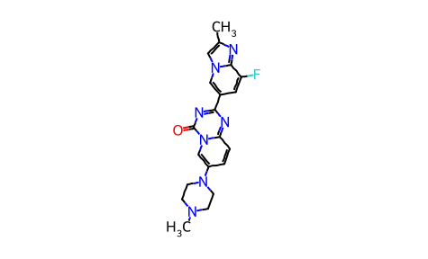 Cc1cn2cc(-c3nc(=O)n4cc(N5CCN(C)CC5)ccc4n3)cc(F)c2n1